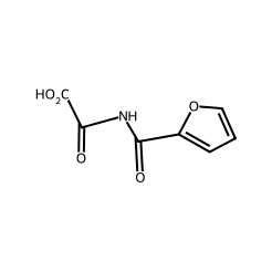 O=C(O)C(=O)NC(=O)c1ccco1